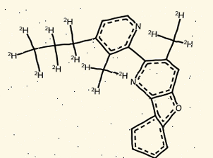 [2H]C([2H])([2H])c1cc2oc3ccccc3c2nc1-c1nccc(C([2H])([2H])C([2H])([2H])C([2H])([2H])[2H])c1C([2H])([2H])[2H]